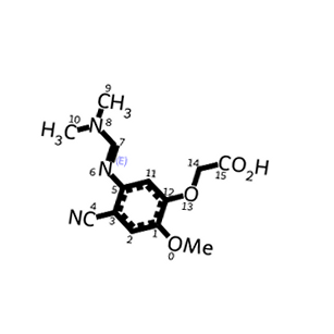 COc1cc(C#N)c(/N=C/N(C)C)cc1OCC(=O)O